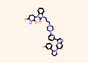 O=C1CCC(n2c(=O)n(CCCN3CCN(c4cccc(-c5cnc6ccc(N7CCCC7c7cccc(F)c7)cn56)n4)CC3)c3ccccc32)C(=O)N1